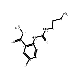 CCCCNC(=O)Nc1ccc(I)cc1C(=O)OC